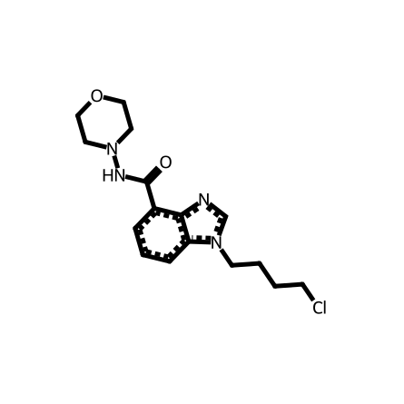 O=C(NN1CCOCC1)c1cccc2c1ncn2CCCCCl